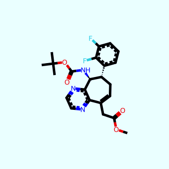 COC(=O)CC1=CC[C@@H](c2cccc(F)c2F)[C@H](NC(=O)OC(C)(C)C)c2nccnc21